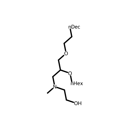 CCCCCCCCCCCCOCC(CN(C)CCO)OCCCCCC